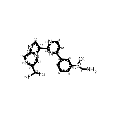 NC[S+]([O-])c1cccc(-c2ccnc(-c3cnc4cnc(C(F)F)cn34)n2)c1